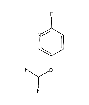 Fc1ccc(OC(F)F)cn1